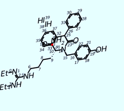 CCN=C(NCC)NCCCC[C@H](C(N)=O)N(Cc1ccc(O)cc1)C(=O)C(c1ccccc1)c1ccccc1.I.I